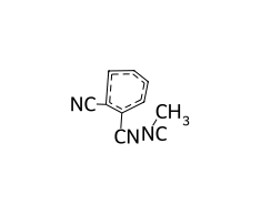 CC#N.N#Cc1ccccc1C#N